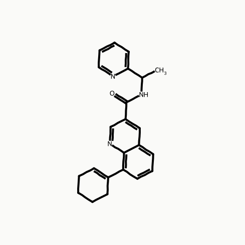 CC(NC(=O)c1cnc2c(C3=CCCCC3)cccc2c1)c1ccccn1